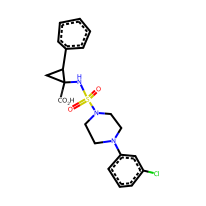 O=C(O)C1(NS(=O)(=O)N2CCN(c3cccc(Cl)c3)CC2)CC1c1ccccc1